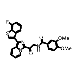 COc1ccc(C(=O)NCC(=O)c2nc(-c3csc4c(F)cccc34)c3ccccn23)cc1OC